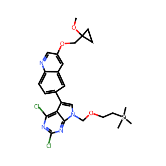 COC1(COc2cnc3ccc(-c4cn(COCC[Si](C)(C)C)c5nc(Cl)nc(Cl)c45)cc3c2)CC1